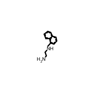 NCCNCc1cccc2ccccc12